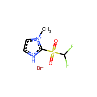 C[n+]1cc[nH]c1S(=O)(=O)C(F)F.[Br-]